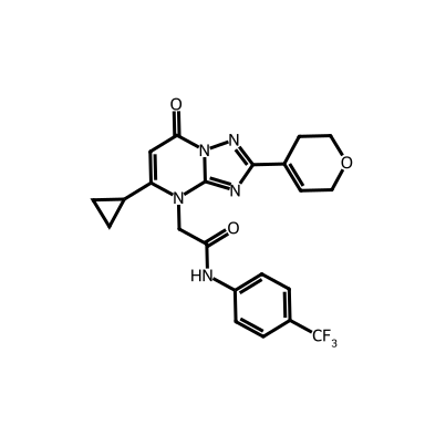 O=C(Cn1c(C2CC2)cc(=O)n2nc(C3=CCOCC3)nc12)Nc1ccc(C(F)(F)F)cc1